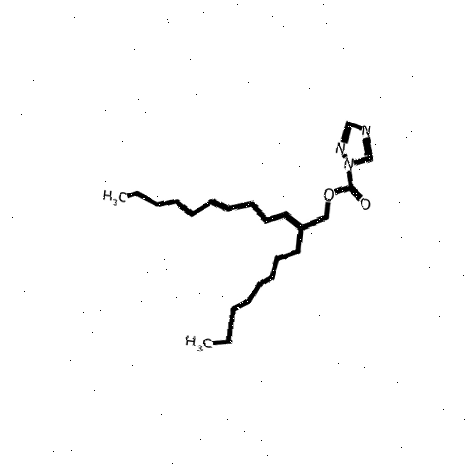 CCCCCCCCCCC(CCCCCCCC)COC(=O)n1cncn1